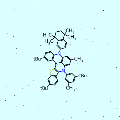 Cc1cc(N2c3cc(C)cc4c3B(c3cc(C(C)(C)C)ccc3N4c3ccc4c(c3)C(C)(C)CCC4(C)C)c3sc4cc(C(C)(C)C)ccc4c32)cc(C(C)(C)C)c1